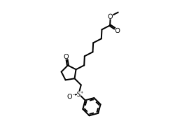 COC(=O)CCCCCCC1C(=O)CCC1C[S+]([O-])c1ccccc1